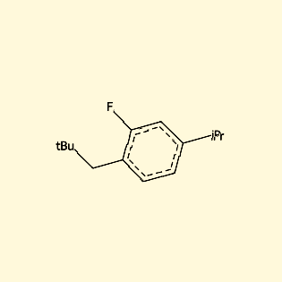 CC(C)c1ccc(CC(C)(C)C)c(F)c1